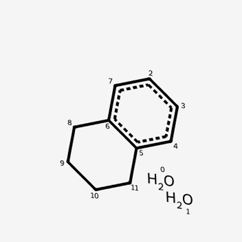 O.O.c1ccc2c(c1)CCCC2